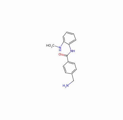 NCc1ccc(C(=O)Nc2ccccc2NC(=O)O)cc1